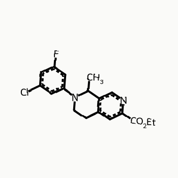 CCOC(=O)c1cc2c(cn1)C(C)N(c1cc(F)cc(Cl)c1)CC2